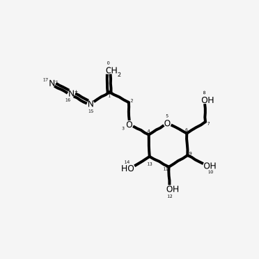 C=C(COC1OC(CO)C(O)C(O)C1O)N=[N+]=[N-]